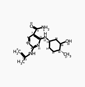 C=C(C)Nc1ncc(C(N)=O)c(N[C@@H]2CC[C@@H](C)C(O)C2)n1